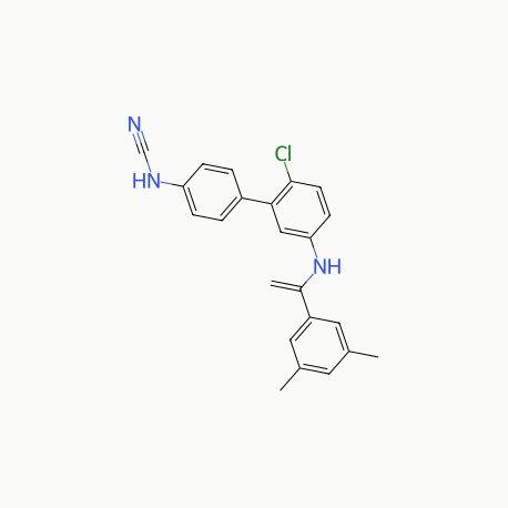 C=C(Nc1ccc(Cl)c(-c2ccc(NC#N)cc2)c1)c1cc(C)cc(C)c1